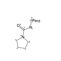 CCCCC[N]C(=O)N1CCCC1